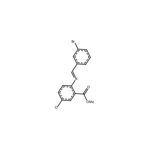 COC(=O)c1cc(Cl)ccc1N=Cc1cccc(Br)c1